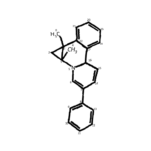 CC12CC1(C)N1C=C(c3ccccc3)C=CC1c1ccccc12